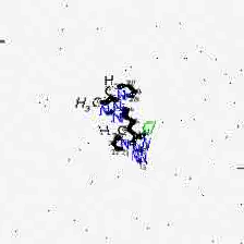 Cc1nc2nc(CC(C)c3c(Cl)nc4ncnn4c3N3CCCC3)cn2c(N2CCCC2)c1C